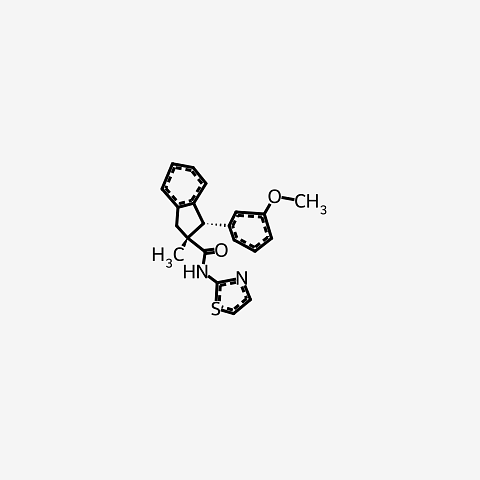 COc1cccc([C@H]2c3ccccc3C[C@@]2(C)C(=O)Nc2nccs2)c1